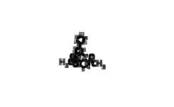 CC(=O)N1CCC[C@H](NS(C)(=O)=O)[C@@H]1Cc1cccc(-c2ccccc2)c1